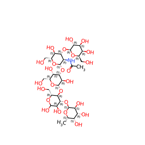 CC(=O)N[C@H]1[C@H](O[C@H]2[C@@H](O)[C@@H](CO)O[C@@H](O[C@H]3[C@H](O[C@@H]4O[C@@H](C)[C@@H](O)[C@@H](O)[C@@H]4O)[C@@H](O)C(O)O[C@@H]3CO)[C@@H]2O)O[C@H](CO)[C@@H](O)[C@@H]1O[C@@H]1O[C@H](CO)[C@H](O)[C@H](O)[C@H]1O